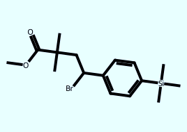 COC(=O)C(C)(C)CC(Br)c1ccc([Si](C)(C)C)cc1